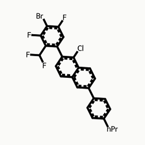 CCCc1ccc(-c2ccc3c(Cl)c(-c4cc(F)c(Br)c(F)c4C(F)F)ccc3c2)cc1